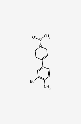 CCc1cc(C2=CCN([S+](C)[O-])CC2)ncc1N